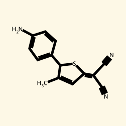 CC1=CC(=C(C#N)C#N)SC1c1ccc(N)cc1